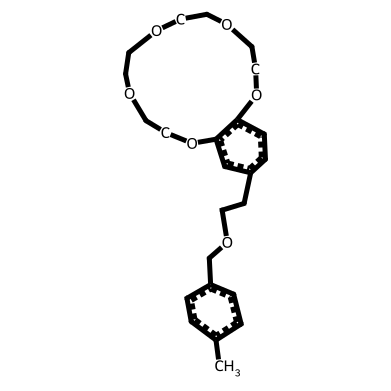 Cc1ccc(COCCc2ccc3c(c2)OCCOCCOCCOCCO3)cc1